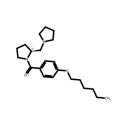 CCCCCCOc1ccc(C(=O)N2CCC[C@H]2CN2CCCC2)cc1